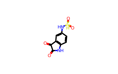 O=C1Nc2ccc(N[SH](=O)=O)cc2C1=O